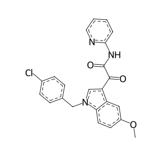 COc1ccc2c(c1)c(C(=O)C(=O)Nc1ccccn1)cn2Cc1ccc(Cl)cc1